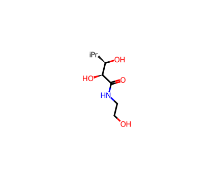 CC(C)[C@@H](O)[C@H](O)C(=O)NCCO